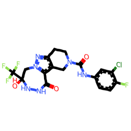 O=C1NNC(O)(C(F)(F)F)Cn2nc3c(c21)CN(C(=O)Nc1ccc(F)c(Cl)c1)CC3